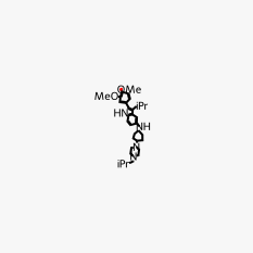 COc1ccc(-c2[nH]c3ccc(NC4CCC(N5CCN(CC(C)C)CC5)CC4)cc3c2C(C)C)cc1OC